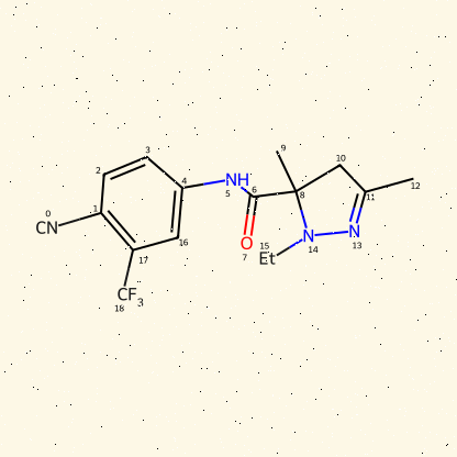 [C-]#[N+]c1ccc(NC(=O)C2(C)CC(C)=NN2CC)cc1C(F)(F)F